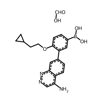 Nc1cnnc2cc(-c3cc(B(O)O)ccc3OCCC3CC3)ccc12.O=CO